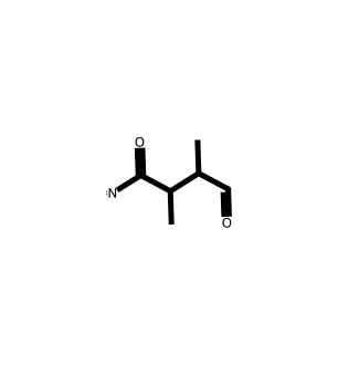 CC(C=O)C(C)C([N])=O